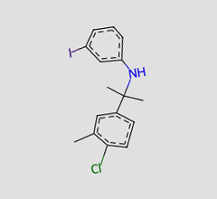 Cc1cc(C(C)(C)Nc2cccc(I)c2)ccc1Cl